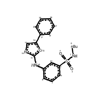 CCCCNS(=O)(=O)c1cccc(Nc2ncc(-c3ccccc3)o2)c1